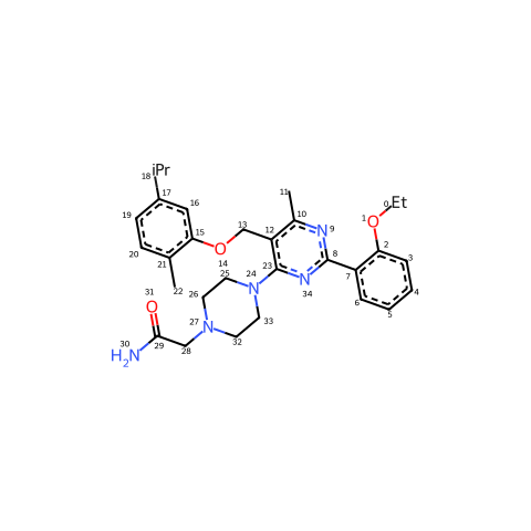 CCOc1ccccc1-c1nc(C)c(COc2cc(C(C)C)ccc2C)c(N2CCN(CC(N)=O)CC2)n1